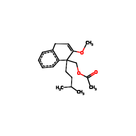 COC1=CCc2ccccc2C1(CCC(C)C)COC(C)=O